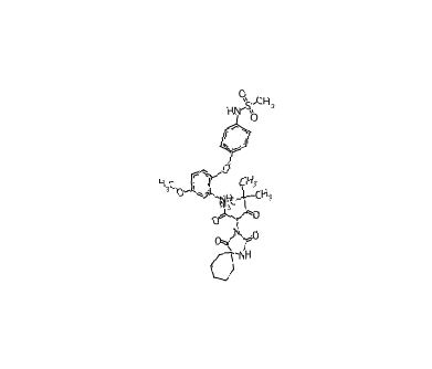 COc1ccc(Oc2ccc(NS(C)(=O)=O)cc2)c(NC(=O)C(C(=O)C(C)(C)C)N2C(=O)NC3(CCCCC3)C2=O)c1